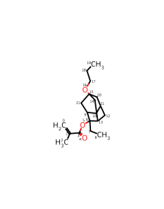 C=C(C)C(=O)OC1(CC)C2CC3CC1CC(OCCC)(C3)C2